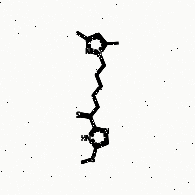 CSc1cnc(C(=S)CCCCCn2nc(C)cc2C)[nH]1